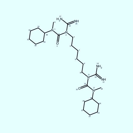 CN(C(=O)N(CCCCCCN(C(=N)N)C(=O)N(C)C1CCCCC1)C(=N)N)C1CCCCC1